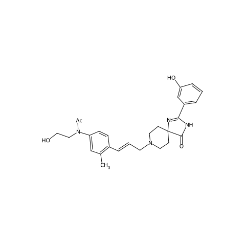 CC(=O)N(CCO)c1ccc(/C=C/CN2CCC3(CC2)N=C(c2cccc(O)c2)NC3=O)c(C)c1